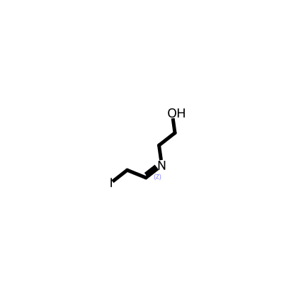 OCC/N=C\CI